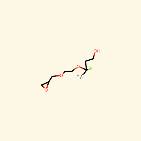 CC(F)(CCO)OCCOCC1CO1